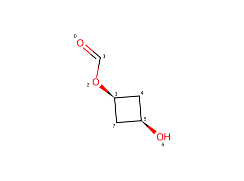 O=CO[C@H]1C[C@@H](O)C1